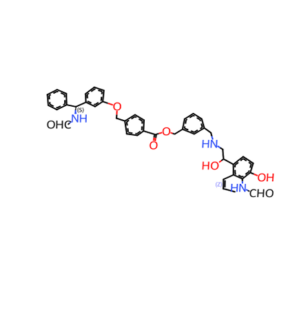 C/C=C\c1c(C(O)CNCc2cccc(COC(=O)c3ccc(COc4cccc([C@@H](NC=O)c5ccccc5)c4)cc3)c2)ccc(O)c1NC=O